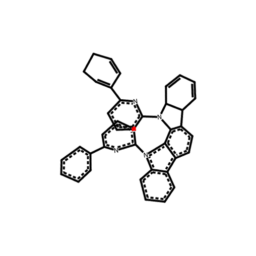 C1=CC2c3ccc4c5ccccc5n(-c5nccc(-c6ccccc6)n5)c4c3N(c3cccc(C4=CCCC=C4)n3)C2C=C1